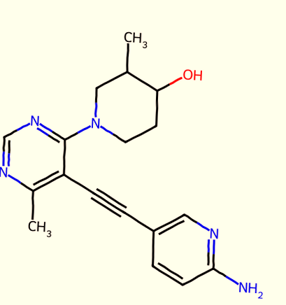 Cc1ncnc(N2CCC(O)C(C)C2)c1C#Cc1ccc(N)nc1